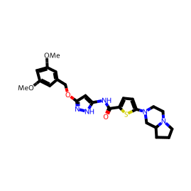 COc1cc(COc2cc(NC(=O)c3ccc(N4CCN5CCCC5C4)s3)[nH]n2)cc(OC)c1